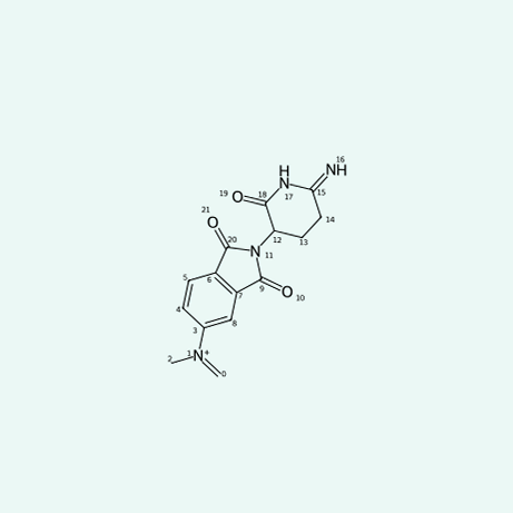 C=[N+](C)c1ccc2c(c1)C(=O)N(C1CCC(=N)NC1=O)C2=O